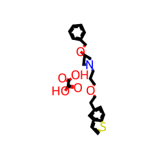 O=C(O)C(=O)O.c1ccc(COC2CN(CCCOCCc3ccc4sccc4c3)C2)cc1